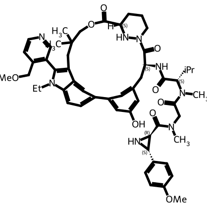 CCn1c(-c2cnccc2COC)c2c3cc(ccc31)-c1cc(O)cc(c1)C[C@H](NC(=O)[C@H](C(C)C)N(C)C(=O)CN(C)C(=O)[C@@H]1N[C@H]1c1ccc(OC)cc1)C(=O)N1CCC[C@H](N1)C(=O)OCC(C)(C)C2